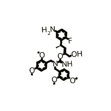 COc1ccc(CN(Cc2ccc(OC)cc2OC)C(=N)O/C(=C\[C@@H](C)c2cc(N)ccc2F)CO)c(OC)c1